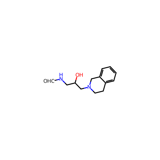 O=CNCC(O)CN1CCc2ccccc2C1